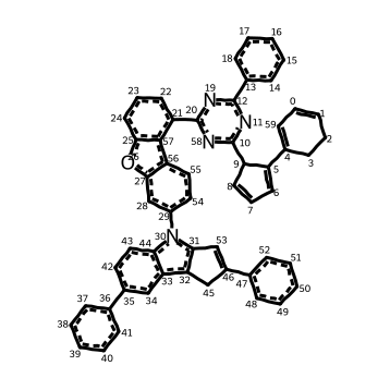 C1=CCCC(C2=CC=CC2c2nc(-c3ccccc3)nc(-c3cccc4oc5cc(-n6c7c(c8cc(-c9ccccc9)ccc86)CC(c6ccccc6)=C7)ccc5c34)n2)=C1